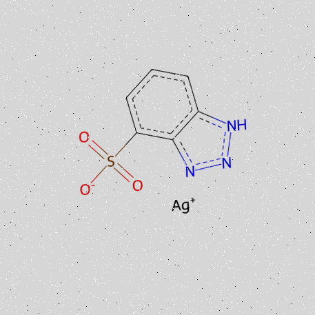 O=S(=O)([O-])c1cccc2[nH]nnc12.[Ag+]